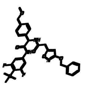 COCc1ccc(C(NC(=O)Cc2cc(OCc3ccccc3)no2)C(=O)Nc2cc(F)c([Si](C)(C)C)c(F)c2)cc1